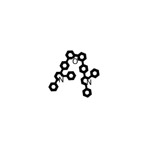 c1ccc(-c2ccc(-c3ccc(-c4cccc5c4oc4c(-c6ccc(-c7ccc(-c8ccccc8)nc7-c7ccccc7)cc6)cccc45)cc3)c(-c3ccccc3)n2)cc1